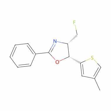 Cc1csc([C@@H]2OC(c3ccccc3)=N[C@@H]2CF)c1